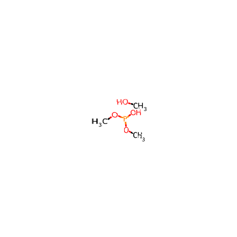 CO.COP(O)OC